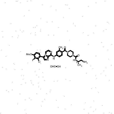 COc1ccc(-c2cnc3c(Nc4ccc(C(=O)N5CCN(C(=O)N[C@H](C)CN)CC5)c(C)c4)nccn23)c(Cl)c1F.O=CO